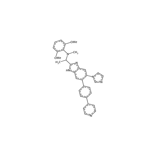 COc1cccc(OC)c1N(C)C(C)c1nc2cc(-n3ccnc3)c(-c3ccc(-c4ccncc4)cc3)cc2[nH]1